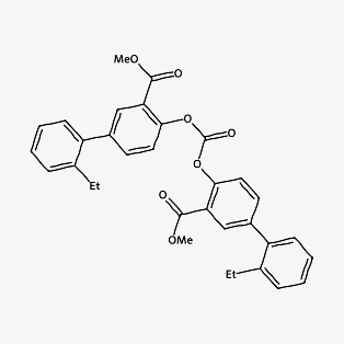 CCc1ccccc1-c1ccc(OC(=O)Oc2ccc(-c3ccccc3CC)cc2C(=O)OC)c(C(=O)OC)c1